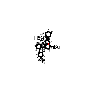 CCC(C)c1cccc2c1C=C(C1CCCCC1)[CH]2[Zr]([Cl])([Cl])([CH]1C(C)=Cc2c(-c3ccc([Si](C)(C)C)cc3)cccc21)[SiH](C)C